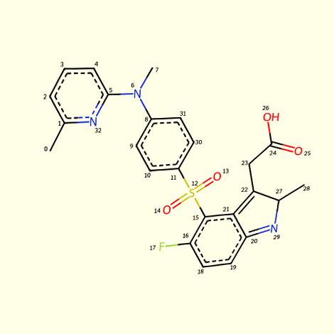 Cc1cccc(N(C)c2ccc(S(=O)(=O)c3c(F)ccc4c3=C(CC(=O)O)C(C)N=4)cc2)n1